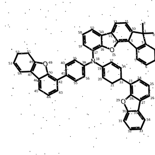 CC1(C)C2=C(C=CCC2)c2c1ccc1c2oc2c(N(C3=CCC(c4cccc5c4oc4ccccc45)C=C3)c3ccc(-c4cccc5c6c(oc45)CCC=C6)cc3)cccc21